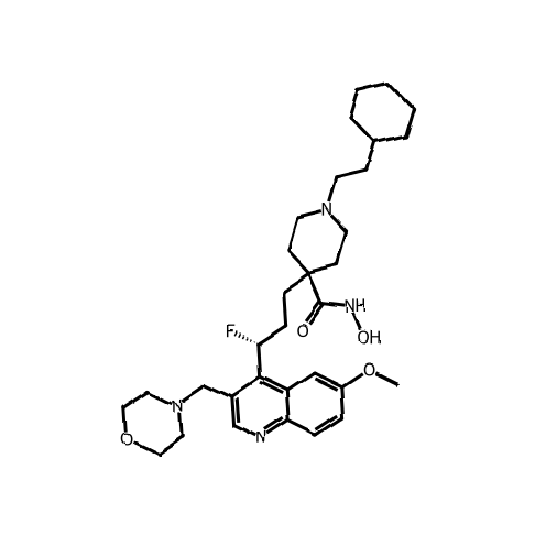 COc1ccc2ncc(CN3CCOCC3)c([C@H](F)CCC3(C(=O)NO)CCN(CCC4CCCCC4)CC3)c2c1